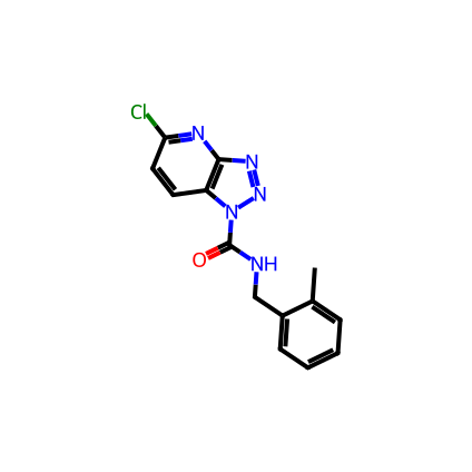 Cc1ccccc1CNC(=O)n1nnc2nc(Cl)ccc21